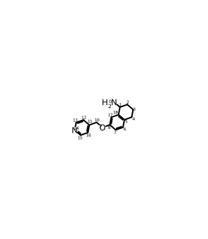 NC1CCCc2ccc(OCc3ccncc3)cc21